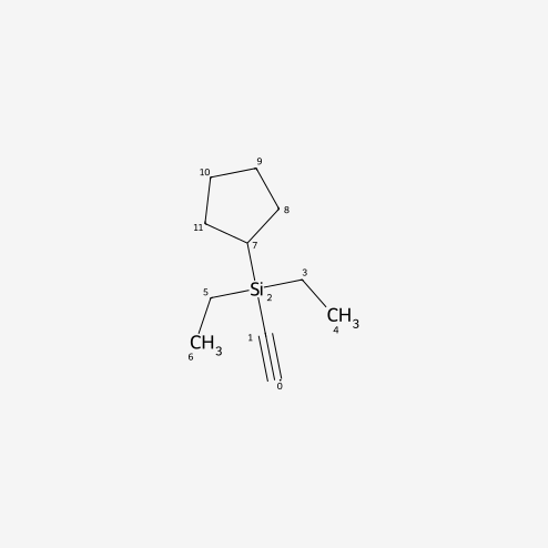 [C]#C[Si](CC)(CC)C1CCCC1